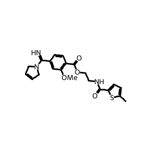 COc1cc(C(=N)N2CC=CC2)ccc1C(=O)OCCNC(=O)c1ccc(C)s1